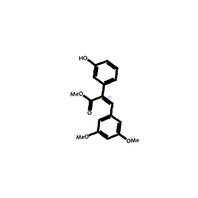 COC(=O)/C(=C\c1cc(OC)cc(OC)c1)c1cccc(O)c1